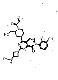 C=CC(=O)N1CCN(c2nc(N3CC(NC(C)C)C3)nc3c(=O)n(-c4cccc(C)c4C(F)(F)F)ncc23)CC1CC#N